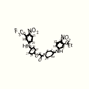 CCOc1cc(NC2CCN(C(=O)COC3CCC(Nc4ccc([N+](=O)[O-])c(C(F)(F)F)c4)CC3)CC2)ccc1[N+](=O)[O-]